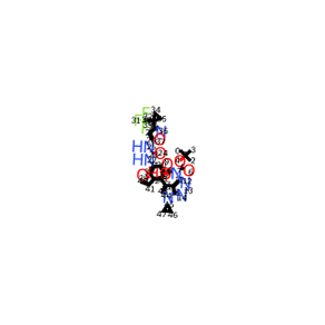 CC(C)(C)OC(=O)N(C(=O)O)c1ncnc2c1c(-c1ccc(NC(=O)Nc3cc(C4(C(F)(F)F)CC4)no3)c3occc13)cn2C1CC1